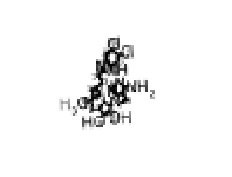 CN(C[C@H]1CC(n2ccc3c(N)ncnc32)[C@H](O)[C@@H]1O)C1CC(CCc2nc3cc(Cl)c(Cl)cc3[nH]2)C1